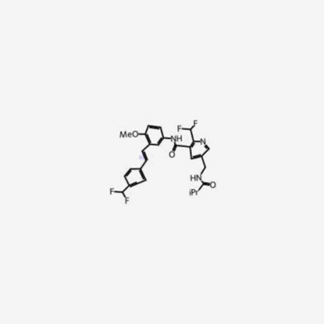 COc1ccc(NC(=O)c2cc(CNC(=O)C(C)C)cnc2C(F)F)cc1/C=C/c1ccc(C(F)F)cc1